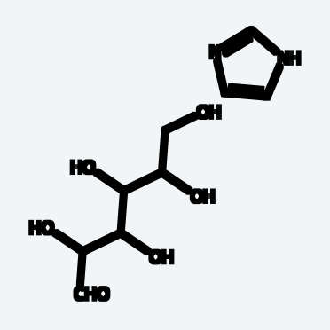 O=CC(O)C(O)C(O)C(O)CO.c1c[nH]cn1